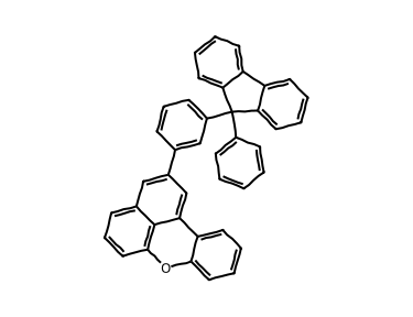 c1ccc(C2(c3cccc(-c4cc5c6c(cccc6c4)Oc4ccccc4-5)c3)c3ccccc3-c3ccccc32)cc1